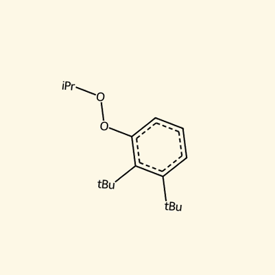 CC(C)OOc1cccc(C(C)(C)C)c1C(C)(C)C